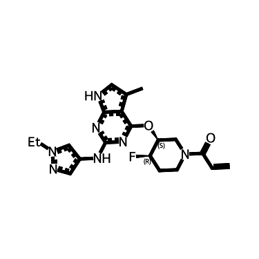 C=CC(=O)N1CC[C@@H](F)[C@@H](Oc2nc(Nc3cnn(CC)c3)nc3[nH]cc(C)c23)C1